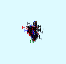 Cc1ncsc1-c1ccc([C@H](C)NC(=O)[C@@H]2C[C@@H](O)CN2C(=O)[C@@H](NCCCCCCCC(=O)N2CCN(CC3(C)CCC(c4ccc(Cl)cc4)=C(CN4CCN(c5ccc(C(=O)NS(=O)(=O)c6ccc(N[C@H](CCN(C)CCO)CSc7ccccc7)c([N+](=O)[O-])c6)cc5)CC4)C3)CC2)C(C)(C)C)cc1